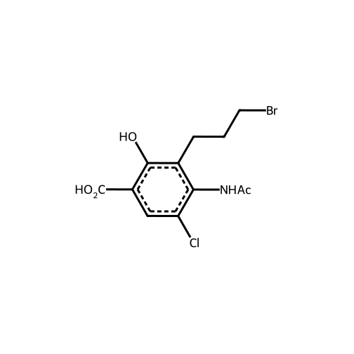 CC(=O)Nc1c(Cl)cc(C(=O)O)c(O)c1CCCBr